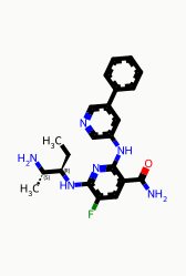 CC[C@@H](Nc1nc(Nc2cncc(-c3ccccc3)c2)c(C(N)=O)cc1F)[C@H](C)N